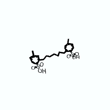 Cc1ccc(S(=O)(=O)O)c(CCCCCCCc2cc(C)ccc2S(=O)(=O)O)c1